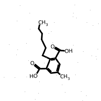 CCCCCCc1c(C(=O)O)cc(C)cc1C(=O)O